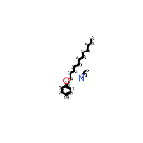 CC#N.CCCCCCCCCCCCOc1ccccc1